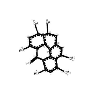 Cc1cc(O)c2c3c1c(O)cc1cc(O)c4c(O)cc(O)c(c4c13)C2=O